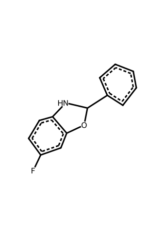 Fc1ccc2c(c1)OC(c1ccccc1)N2